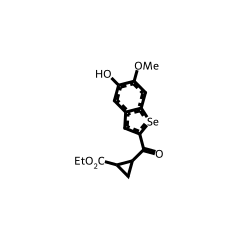 CCOC(=O)C1CC1C(=O)c1cc2cc(O)c(OC)cc2[se]1